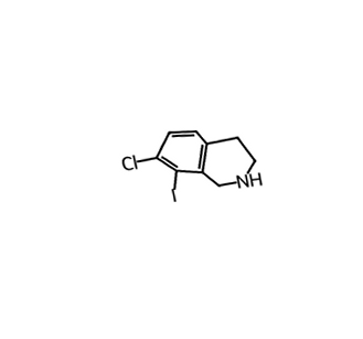 Clc1ccc2c(c1I)CNCC2